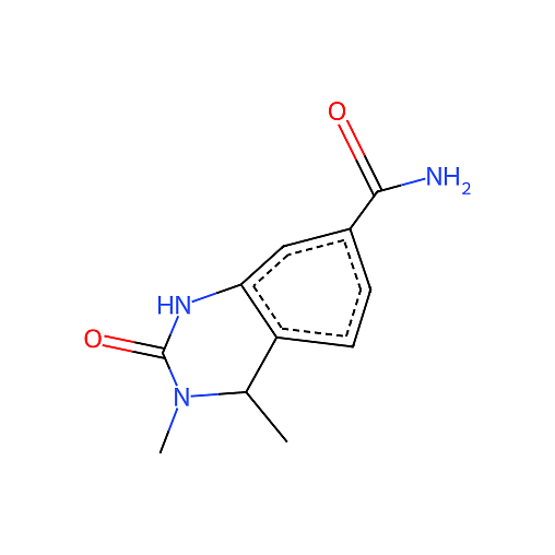 CC1c2ccc(C(N)=O)cc2NC(=O)N1C